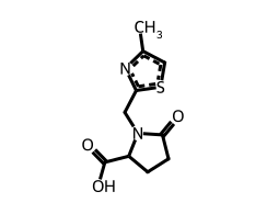 Cc1csc(CN2C(=O)CCC2C(=O)O)n1